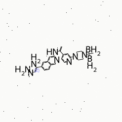 BC(B)(C)N1CCN(c2cc(C(=C)Nc3cc4cc(/C(N)=C/N(C)N)ccc4cn3)ccn2)CC1